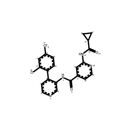 O=C(Nc1cnccc1-c1ccc(C(F)(F)F)cc1Cl)c1ccnc(NC(=O)C2CC2)c1